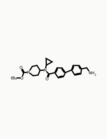 CC(C)(C)OC(=O)N1CCC(N(C(=O)c2ccc(-c3ccc(CN)cc3)cc2)C2CC2)CC1